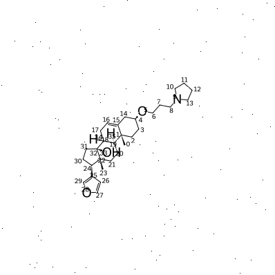 C[C@]12CC[C@H](OCCCN3CCCC3)CC1=CC[C@@H]1[C@@H]2CC[C@]2(C)[C@@H](c3ccoc3)CC[C@]12O